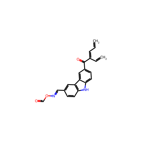 C=C/C=C(\C=C)C(=O)c1ccc2[nH]c3ccc(/C=N/OC=O)cc3c2c1